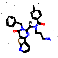 Cc1ccc(C(=O)N(CCCN)C(c2nc3c(sc4ncccc43)c(=O)n2Cc2ccccc2)C(C)C)cc1